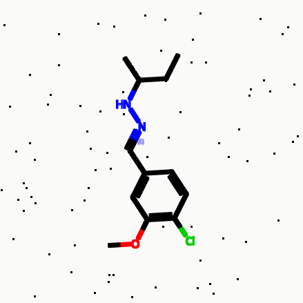 CCC(C)N/N=C/c1ccc(Cl)c(OC)c1